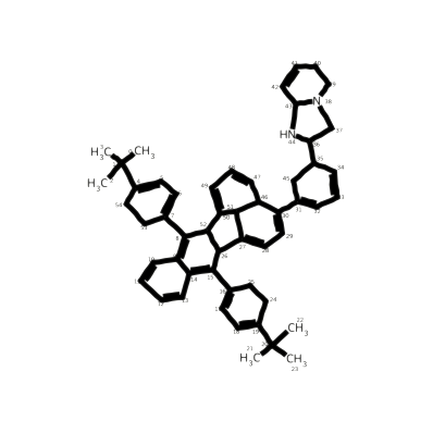 CC(C)(C)C1=CC=C(C2=c3ccccc3=C(C3=CC=C(C(C)(C)C)CC3)C3C4=CC=C(C5=CC=CC(C6CN7CCC=CC7N6)C5)C5C=CC=C(C45)C23)CC1